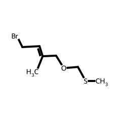 CSCOC/C(C)=C/CBr